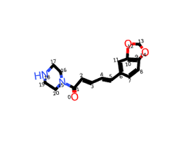 O=C(C=CC=Cc1ccc2c(c1)OCO2)N1CCNCC1